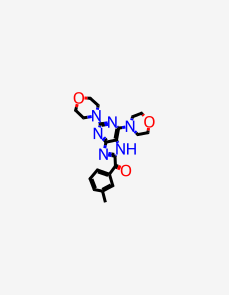 Cc1cccc(C(=O)c2nc3nc(N4CCOCC4)nc(N4CCOCC4)c3[nH]2)c1